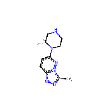 C[C@@H]1CNCCN1c1ccc2nnc(C(F)(F)F)n2n1